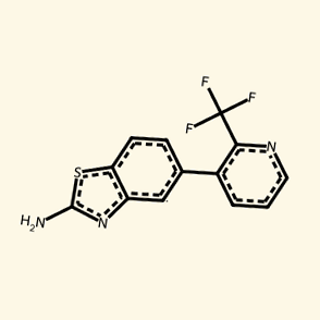 Nc1nc2[c]c(-c3cccnc3C(F)(F)F)ccc2s1